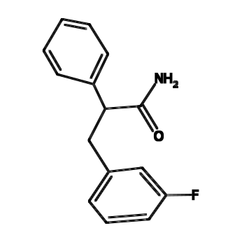 NC(=O)C(Cc1cccc(F)c1)c1ccccc1